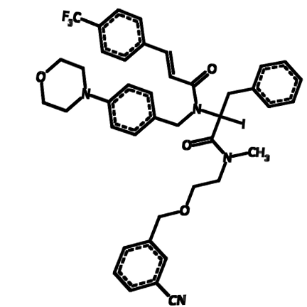 CN(CCOCc1cccc(C#N)c1)C(=O)C(I)(Cc1ccccc1)N(Cc1ccc(N2CCOCC2)cc1)C(=O)C=Cc1ccc(C(F)(F)F)cc1